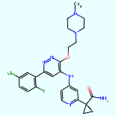 CN1CCN(CCOc2nnc(-c3cc(Cl)ccc3F)cc2Nc2ccnc(C3(C(N)=O)CC3)c2)CC1